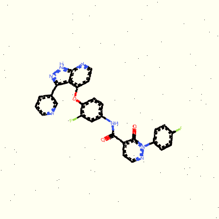 O=C(Nc1ccc(Oc2ccnc3[nH]nc(-c4cccnc4)c23)c(F)c1)c1ccnn(-c2ccc(F)cc2)c1=O